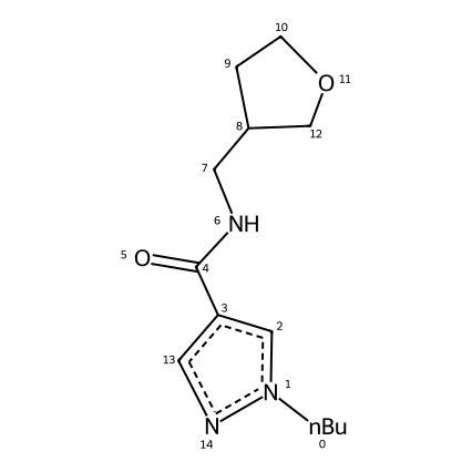 CCCCn1cc(C(=O)NCC2CCOC2)cn1